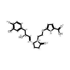 O=C(O)c1ccc(SCCN2C(=O)CC[C@@H]2/C=C/[C@@H](O)Cc2ccc(F)c(Cl)c2)s1